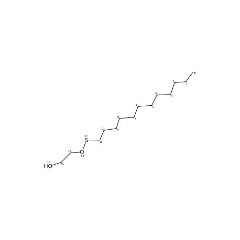 CCCCCCCCCCCCSOCCO